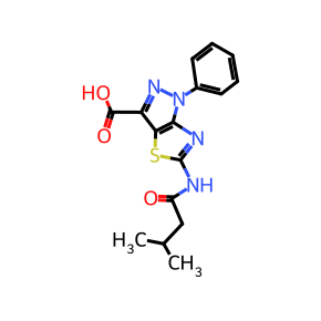 CC(C)CC(=O)Nc1nc2c(s1)c(C(=O)O)nn2-c1ccccc1